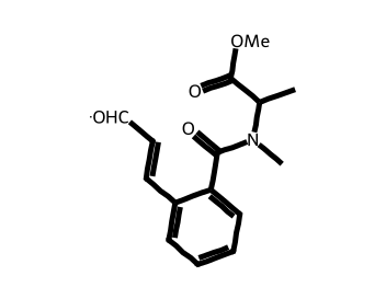 COC(=O)C(C)N(C)C(=O)c1ccccc1/C=C/[C]=O